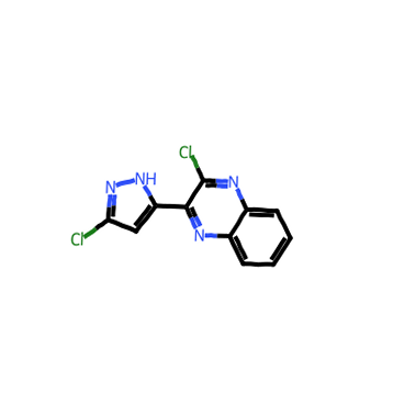 Clc1cc(-c2nc3ccccc3nc2Cl)[nH]n1